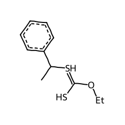 CCOC(S)=[SH]C(C)c1ccccc1